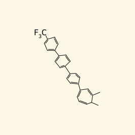 CC1=CC(c2ccc(-c3ccc(-c4ccc(C(F)(F)F)cc4)cc3)cc2)=CC=CC1C